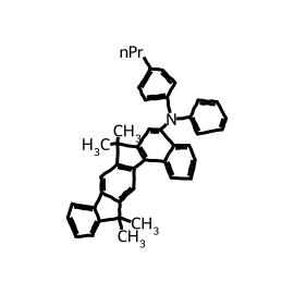 CCCc1ccc(N(c2ccccc2)c2cc3c(c4ccccc24)-c2cc4c(cc2C3(C)C)-c2ccccc2C4(C)C)cc1